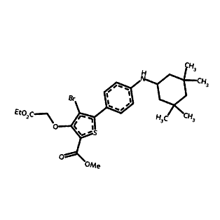 CCOC(=O)COc1c(C(=O)OC)sc(-c2ccc(NC3CC(C)(C)CC(C)(C)C3)cc2)c1Br